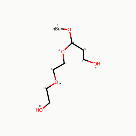 CCCCOC(CCO)OCCOCCO